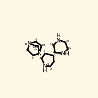 C1CCNCC1.C1CN2CCN1CC2.C1CNCCN1